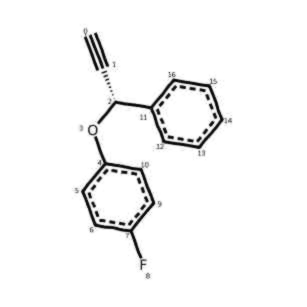 [C]#C[C@@H](Oc1ccc(F)cc1)c1ccccc1